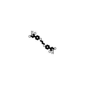 O=C1C=C(c2ccc(OCCCCOc3ccc(C4=CC(=O)NC4=O)cc3)cc2)C(=O)N1